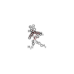 C=Cc1ccc(OCCCCCCC2(c3ccccc3)c3cc(N(c4ccc(-c5ccccc5)cc4)c4ccc5c(c4)C4(C6=C(C=CCC6)C6=C4C(C)C(N(c4ccc(-c7ccccc7)cc4)c4ccc7c(c4)C(CCCCCCOC4=CCC(C=C)C=C4)(CC4=CCCC=C4)c4ccccc4-7)C=C6)c4ccccc4-5)ccc3C3(C)C=CC=CC32)cc1